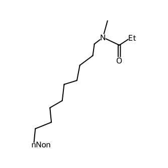 CCCCCCCCCCCCCCCCCCN(C)C(=O)CC